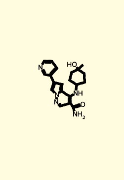 CC1(O)CCC(Nc2c(C(N)=O)cnn3cc(-c4cccnc4)cc23)CC1